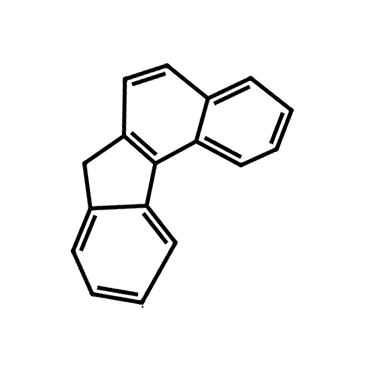 [c]1ccc2c(c1)-c1c(ccc3ccccc13)C2